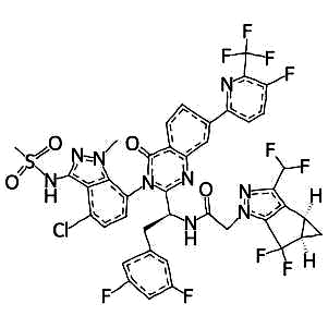 Cn1nc(NS(C)(=O)=O)c2c(Cl)ccc(-n3c([C@H](Cc4cc(F)cc(F)c4)NC(=O)Cn4nc(C(F)F)c5c4C(F)(F)[C@@H]4C[C@H]54)nc4cc(-c5ccc(F)c(C(F)(F)F)n5)ccc4c3=O)c21